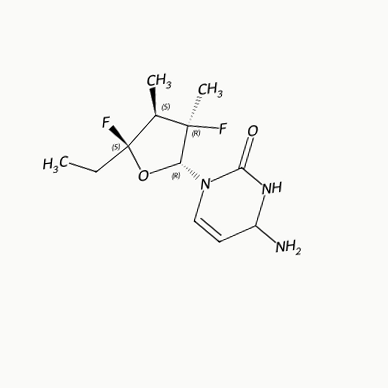 CC[C@@]1(F)O[C@@H](N2C=CC(N)NC2=O)[C@](C)(F)[C@@H]1C